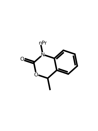 CCCN1C(=O)OC(C)c2ccccc21